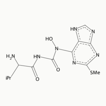 CSc1nc(N(O)C(=O)NC(=O)C(N)C(C)C)c2[nH]cnc2n1